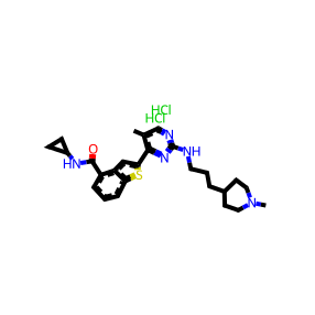 Cc1cnc(NCCCC2CCN(C)CC2)nc1-c1cc2c(C(=O)NC3CC3)cccc2s1.Cl.Cl